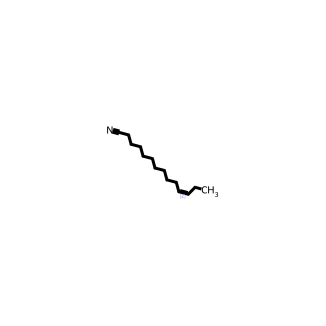 CC/C=C\CCCCCCCCCC#N